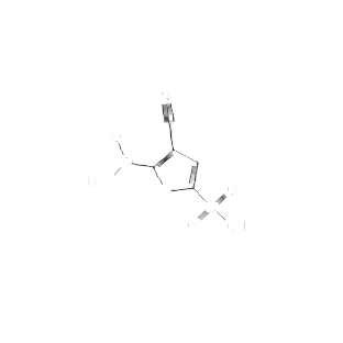 C[S+]([O-])c1sc(S(C)(=O)=O)cc1C#N